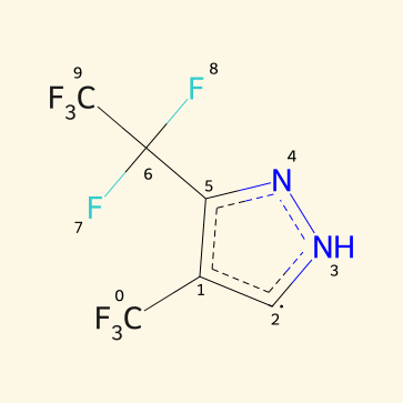 FC(F)(F)c1[c][nH]nc1C(F)(F)C(F)(F)F